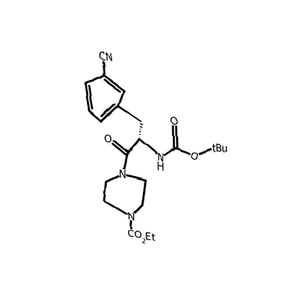 CCOC(=O)N1CCN(C(=O)[C@H](Cc2cccc(C#N)c2)NC(=O)OC(C)(C)C)CC1